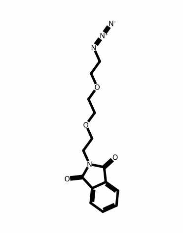 [N-]=[N+]=NCCOCCOCCN1C(=O)c2ccccc2C1=O